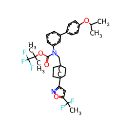 CC(C)Oc1ccc(-c2cccc(N(CC34CCC(c5cc(C(C)(F)F)on5)(CC3)CC4)C(=O)OC(C)(C)C(F)(F)F)c2)cc1